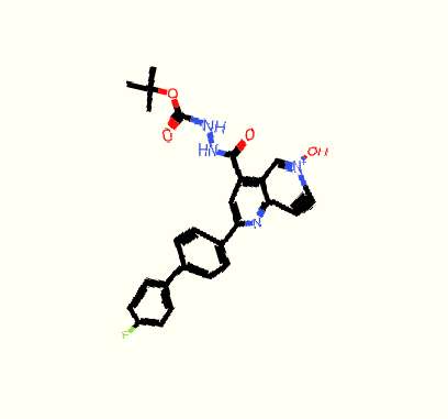 CC(C)(C)OC(=O)NNC(=O)c1cc(-c2ccc(-c3ccc(F)cc3)cc2)nc2cc[n+](O)cc12